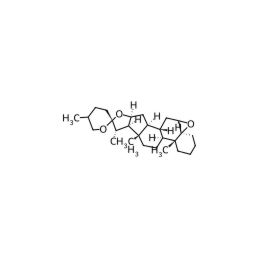 CC1CC[C@@]2(OC1)O[C@H]1C[C@H]3[C@@H]4C[C@H]5O[C@]56CCCC[C@]6(C)[C@H]4CC[C@]3(C)[C@H]1[C@@H]2C